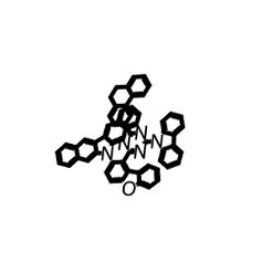 c1ccc2c(c1)CCc1ccc(-c3nc(-c4c(-n5c6cc7ccccc7cc6c6cc7ccccc7cc65)ccc5oc6ccccc6c45)nc(-n4c5ccccc5c5ccccc54)n3)cc1-2